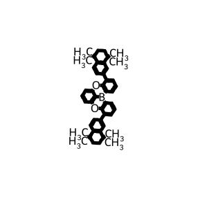 CC1(C)CCC(C)(C)c2cc(-c3cccc4c3Oc3cccc5c3B4c3cccc(-c4ccc6c(c4)C(C)(C)CCC6(C)C)c3O5)ccc21